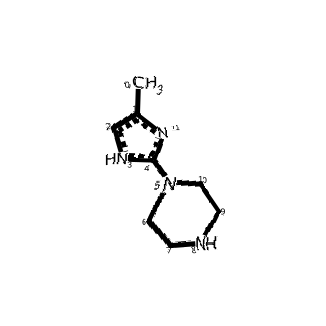 Cc1c[nH]c(N2CCNCC2)n1